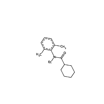 CCN(C(=O)C1CCCCC1)c1c(C)cccc1C